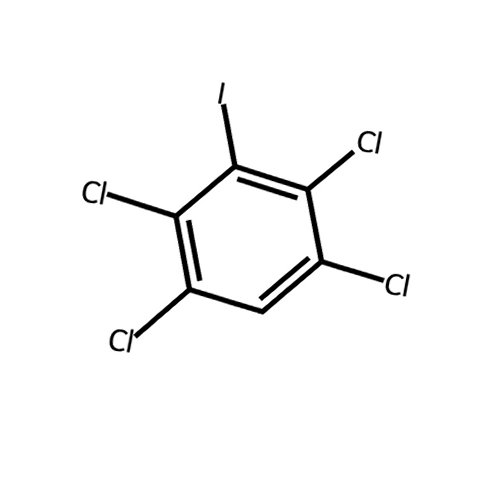 Clc1cc(Cl)c(Cl)c(I)c1Cl